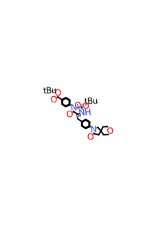 CC(C)(C)OC(=O)N[C@@H](Cc1ccc(N2CC3(CCOCC3)CC2=O)cc1)C(=O)Nc1ccc(C(=O)OC(C)(C)C)cc1